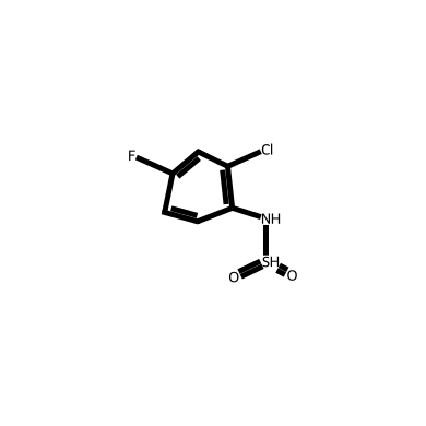 O=[SH](=O)Nc1ccc(F)cc1Cl